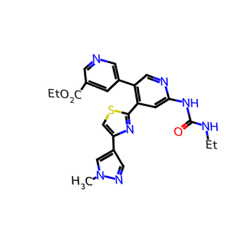 CCNC(=O)Nc1cc(-c2nc(-c3cnn(C)c3)cs2)c(-c2cncc(C(=O)OCC)c2)cn1